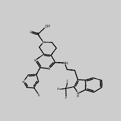 O=C(O)N1CCc2c(nc(-c3cncc(F)c3)nc2NCCc2c(C(F)(F)F)[nH]c3ccccc23)C1